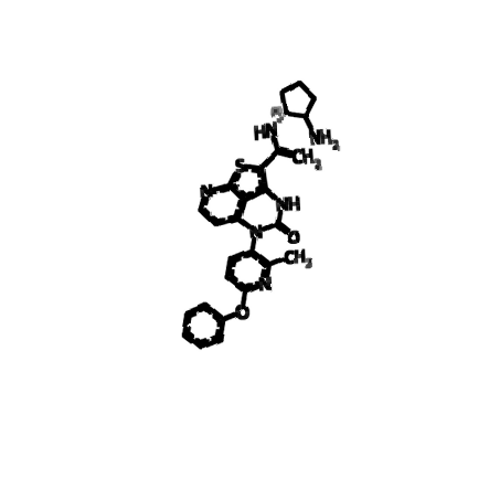 C=C(N[C@@H]1CCCC1N)c1sc2nccc3c2c1NC(=O)N3c1ccc(Oc2ccccc2)nc1C